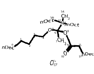 CCCCCCCCCCCCCCOC(C)(OC(=O)CCCCCCCCCCC)[N+](C)(CCCCCCCC)CCCCCCCC.[Cl-]